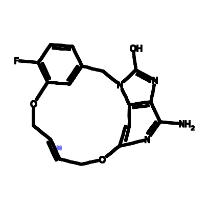 Nc1nc2cc3c1nc(O)n3Cc1ccc(F)c(c1)OC/C=C/CO2